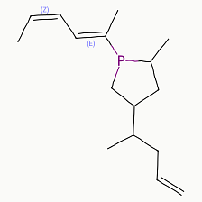 C=CCC(C)C1CC(C)P(/C(C)=C/C=C\C)C1